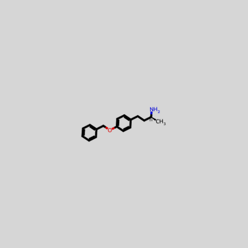 C[C@H](N)CCc1ccc(OCc2ccccc2)cc1